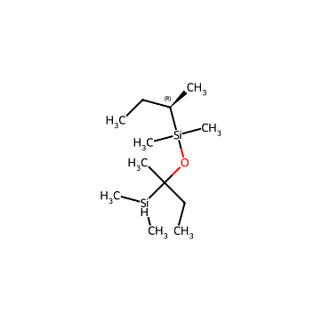 CC[C@@H](C)[Si](C)(C)OC(C)(CC)[SiH](C)C